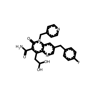 NC(=O)c1c(CC(O)O)c2ncc(Cc3ccc(F)cc3)cc2n(Cc2ccncc2)c1=O